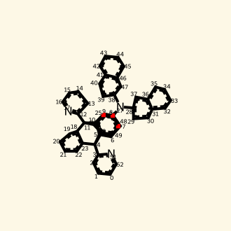 c1ccc(C23c4ccccc4C(c4ccccn4)(c4ccccc42)c2cc(N(c4ccc5ccccc5c4)c4ccc5ccccc5c4)ccc23)nc1